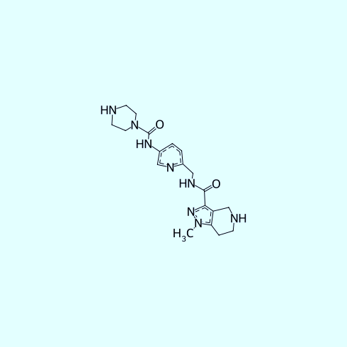 Cn1nc(C(=O)NCc2ccc(NC(=O)N3CCNCC3)cn2)c2c1CCNC2